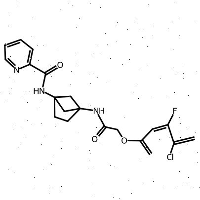 C=C(/C=C(/F)C(=C)Cl)OCC(=O)NC12CCC(NC(=O)c3ccccn3)(C1)C2